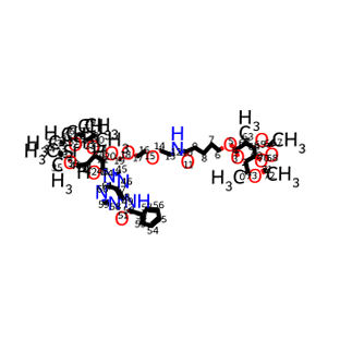 CCC1OC(OCCCCC(=O)NCCOCCOCO[C@@H]2[C@@H]3O[Si](C(C)C)(C(C)C)O[Si](C(C)C)(C(C)C)OC[C@H]3O[C@H]2n2cnc3c(NC(=O)c4ccccc4)ncnc32)C(C)C(OC(C)=O)C1OC(C)=O